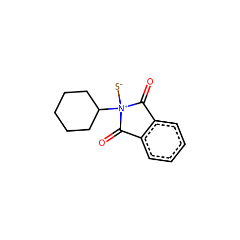 O=C1c2ccccc2C(=O)[N+]1([S-])C1CCCCC1